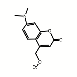 CCOCc1cc(=O)oc2cc(N(C)C)ccc12